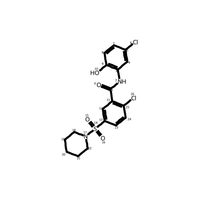 O=C(Nc1cc(Cl)ccc1O)c1cc(S(=O)(=O)N2CCCCC2)ccc1Cl